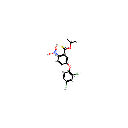 CC(C)OC(=S)c1cc(Oc2ccc(Cl)cc2Cl)ccc1[N+](=O)[O-]